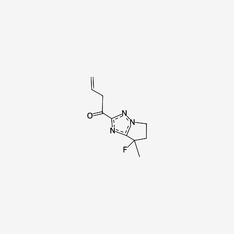 C=CCC(=O)c1nc2n(n1)CCC2(C)F